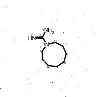 N=C(N)N1CCCCCCCC1